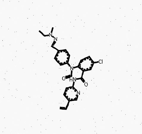 C=Cc1ccc(NC(=O)c2cc(Cl)ccc2N(C=O)c2ccc(C=NN(C)CC)cc2)nc1